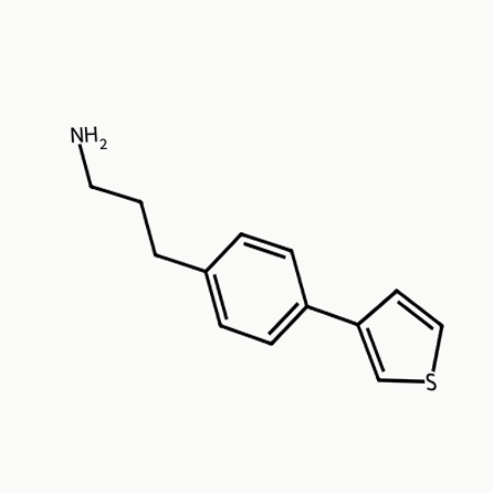 NCCCc1ccc(-c2ccsc2)cc1